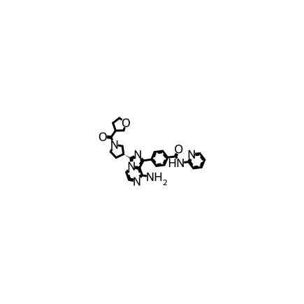 Nc1nccn2c([C@@H]3CCN(C(=O)C4CCOC4)C3)nc(-c3ccc(C(=O)Nc4ccccn4)cc3)c12